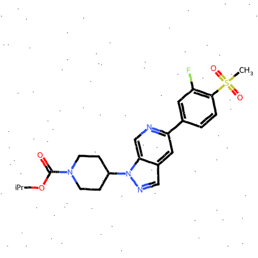 CC(C)OC(=O)N1CCC(n2ncc3cc(-c4ccc(S(C)(=O)=O)c(F)c4)ncc32)CC1